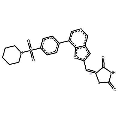 O=C1NC(=O)/C(=C\c2cc3cncc(-c4ccc(S(=O)(=O)N5CCCCC5)cc4)c3o2)S1